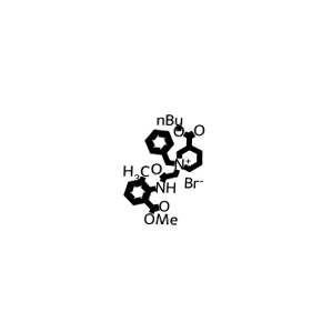 CCCCOC(=O)C1CCC[N+](CC(=O)Nc2c(C)cccc2C(=O)OC)(Cc2ccccc2)C1.[Br-]